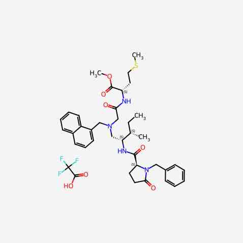 CC[C@H](C)[C@@H](CN(CC(=O)N[C@@H](CCSC)C(=O)OC)Cc1cccc2ccccc12)NC(=O)[C@@H]1CCC(=O)N1Cc1ccccc1.O=C(O)C(F)(F)F